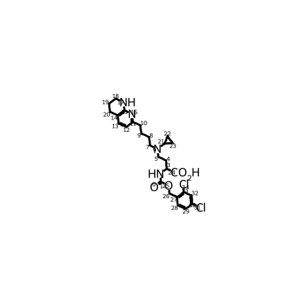 O=C(NC(CCN(CCCCc1ccc2c(n1)NCCC2)C1CC1)C(=O)O)OCc1ccc(Cl)cc1Cl